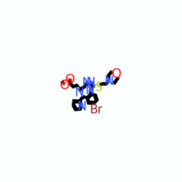 COC(=O)CC[C@@H]1N=C(c2ccccn2)c2cc(Br)ccc2-n2c(SCCN3CCOCC3)nnc21